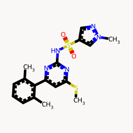 CSc1cc(-c2c(C)cccc2C)nc(NS(=O)(=O)c2cnn(C)c2)n1